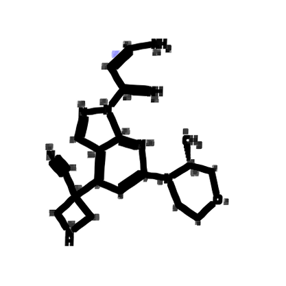 C[C@@H]1COCCN1c1cc(C2(C#N)CNC2)c2cnn(C(=N)/C=C\N)c2n1